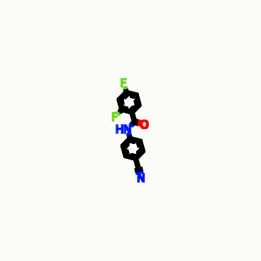 N#Cc1ccc(NC(=O)c2ccc(F)cc2F)cc1